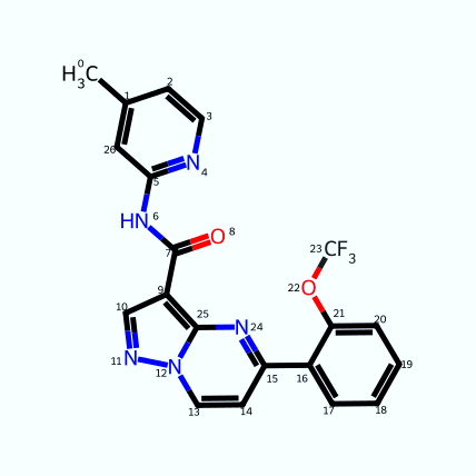 Cc1ccnc(NC(=O)c2cnn3ccc(-c4ccccc4OC(F)(F)F)nc23)c1